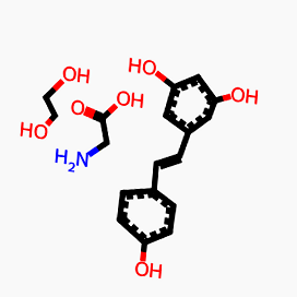 NCC(=O)O.OCCO.Oc1ccc(C=Cc2cc(O)cc(O)c2)cc1